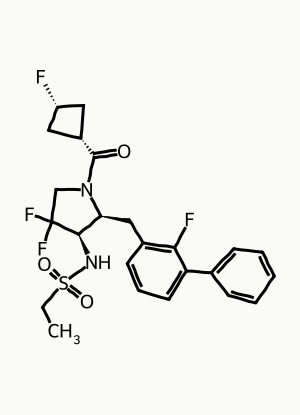 CCS(=O)(=O)N[C@@H]1[C@H](Cc2cccc(-c3ccccc3)c2F)N(C(=O)[C@H]2C[C@@H](F)C2)CC1(F)F